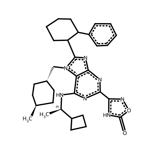 C[C@@H](Nc1nc(-c2noc(=O)[nH]2)nc2nc(C3CCCCC3c3ccccc3)n(C[C@H]3CC[C@H](C)CC3)c12)C1CCC1